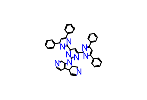 C1=CC2c3ccncc3N(c3nc(-c4nc(-c5ccccc5)cc(-c5ccccc5)n4)cc(-c4nc(-c5ccccc5)cc(-c5ccccc5)n4)n3)C2C=N1